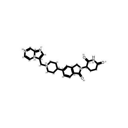 O=C1CCC(N2Cc3cc(C4CCN(Cc5cnc6cnccn56)CC4)ccc3C2=O)C(=O)N1